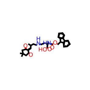 CC(C=C1C(=O)CC(C)(C)CC1=O)CCNCC[C@@H](NC(=O)OCC1c2ccccc2-c2ccccc21)C(=O)O